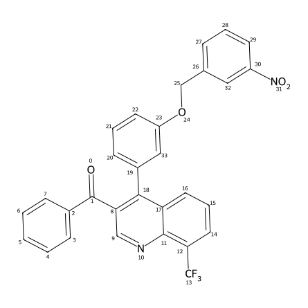 O=C(c1ccccc1)c1cnc2c(C(F)(F)F)cccc2c1-c1cccc(OCc2cccc([N+](=O)[O-])c2)c1